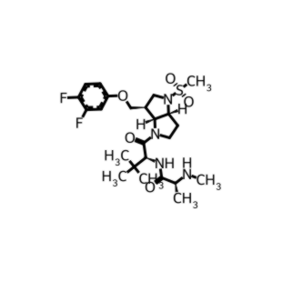 CN[C@@H](C)C(=O)N[C@H](C(=O)N1CC[C@@H]2[C@H]1[C@@H](COc1ccc(F)c(F)c1)CN2S(C)(=O)=O)C(C)(C)C